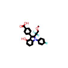 COCC(F)(F)c1c(-c2ccc(C(=O)O)cc2)c2c(O)cccc2n1-c1ccc(F)cc1